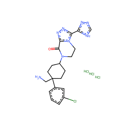 Cl.Cl.Cl.NCC1(c2cccc(Cl)c2)CCC(N2CCn3c(nnc3-c3nnc[nH]3)C2=O)CC1